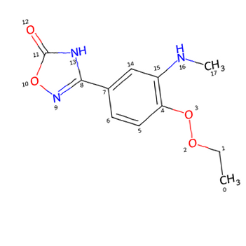 CCOOc1ccc(-c2noc(=O)[nH]2)cc1NC